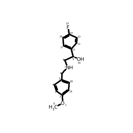 COc1ccc(CNC[C@H](O)c2ccc(F)cc2)cc1